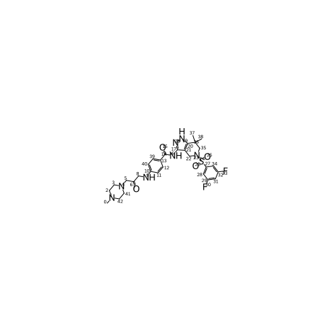 CN1CCN(CC(=O)CNc2ccc(C(=O)Nc3n[nH]c4c3CN(S(=O)(=O)c3cc(F)cc(F)c3)CC4(C)C)cc2)CC1